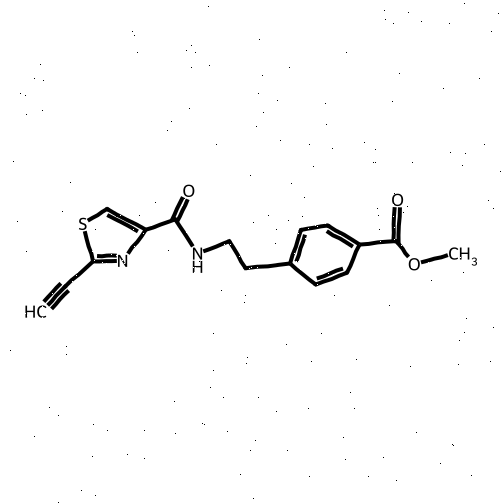 C#Cc1nc(C(=O)NCCc2ccc(C(=O)OC)cc2)cs1